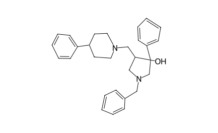 OC1(c2ccccc2)CN(Cc2ccccc2)CC1CN1CCC(c2ccccc2)CC1